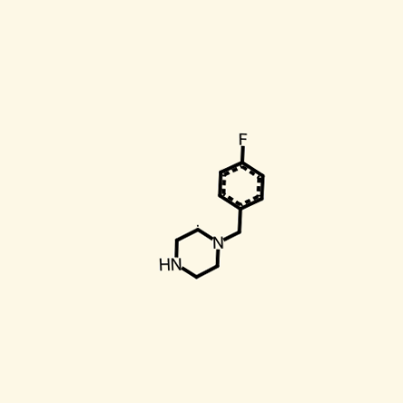 Fc1ccc(CN2[CH]CNCC2)cc1